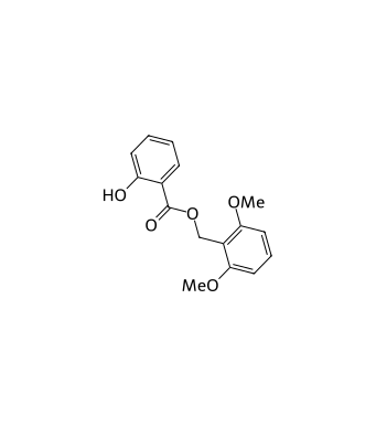 COc1cccc(OC)c1COC(=O)c1ccccc1O